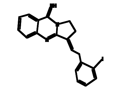 N=c1c2ccccc2nc2n1CC/C2=C\Cc1ccccc1I